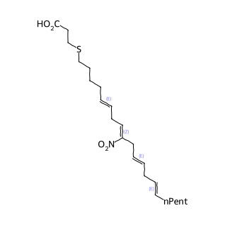 CCCCC/C=C/C/C=C/C/C(=C/C/C=C/CCCCSCCC(=O)O)[N+](=O)[O-]